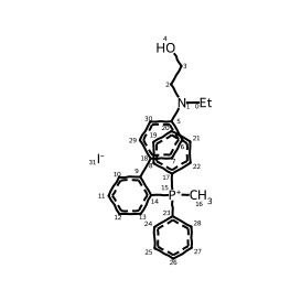 CCN(CCO)c1ccc(-c2ccccc2[P+](C)(c2ccccc2)c2ccccc2)cc1.[I-]